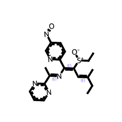 CC/C(C)=C/C(=C(\N=C(/C)c1ncccn1)c1ccc(N=O)cn1)[S+]([O-])CC